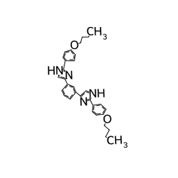 CCCCOc1ccc(-c2nc(-c3cccc(-c4c[nH]c(-c5ccc(OCCCC)cc5)n4)c3)c[nH]2)cc1